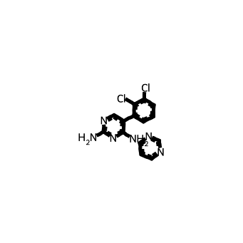 Nc1ncc(-c2cccc(Cl)c2Cl)c(N)n1.c1cncnc1